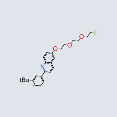 CC(C)(C)C1=CC(c2ccc3cc(OCCOCCOCCF)ccc3n2)=CC[CH]1